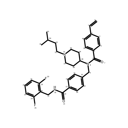 C=Cc1ccc(C(=O)N(Cc2ccc(C(=O)NCc3c(F)cccc3F)cc2)C2CCN(CCC(C)C)CC2)cc1